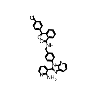 Nc1ncccc1-c1nc2cccnc2n1-c1ccc(CNC(=O)c2ccccc2C(=O)c2ccc(Cl)cc2)cc1